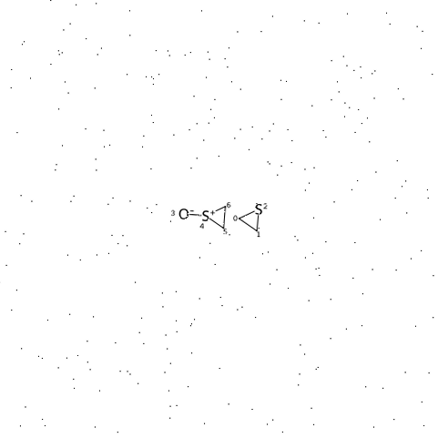 C1CS1.[O-][S+]1CC1